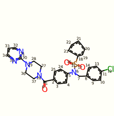 O=C(c1ccc(N(Cc2ccc(Cl)cc2)S(=O)(=O)c2ccccc2)cc1)N1CCN(c2ncccn2)CC1